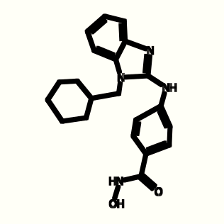 O=C(NO)c1ccc(Nc2nc3ccccc3n2CC2CCCCC2)cc1